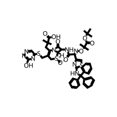 CC(C)(C)OC(=O)C(C)(C)ON=C(C(=O)NC1C(=O)N2C(CC(C)(C)C(=O)O)=C(CSc3cnnc(O)n3)C[S+]([O-])[C@@H]12)c1csc(NC(c2ccccc2)(c2ccccc2)c2ccccc2)n1